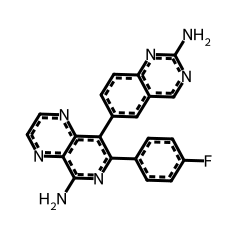 Nc1ncc2cc(-c3c(-c4ccc(F)cc4)nc(N)c4nccnc34)ccc2n1